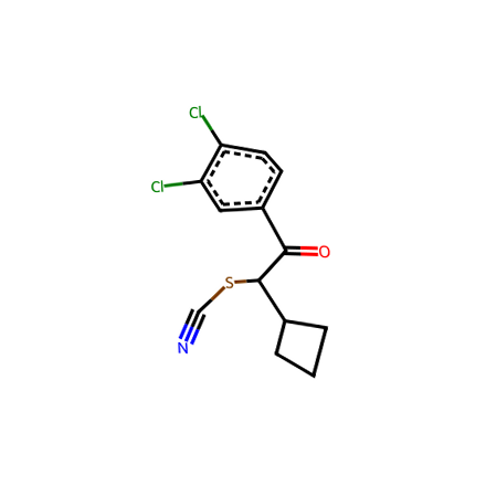 N#CSC(C(=O)c1ccc(Cl)c(Cl)c1)C1CCC1